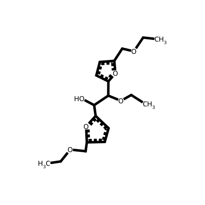 CCOCc1ccc(C(O)C(OCC)c2ccc(COCC)o2)o1